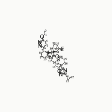 CCOc1ccc(-c2cccc(N(CC3CCC4(c5nc(C6CC6)no5)CCCC3C4)C(=O)[C@@H]3CC(F)C4CC3C4)c2)nn1